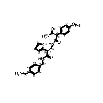 CCOc1ccc([C@H](C(N)=O)C(=O)NC[C@@H](C(=O)NCc2ccc(CN)cc2)c2cccs2)cc1